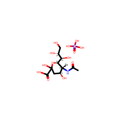 O=P(O)(O)O.[2H][C@@]1(NC(C)=O)[C@@H](O)CC(O)(C(=O)O)O[C@H]1[C@H](O)[C@H](O)CO